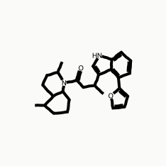 CC(CC(=O)N1C(C)CCC2C(C)CCCC21)c1c[nH]c2cccc(-c3ccco3)c12